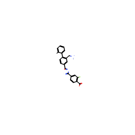 Cc1ccccc1-c1ccc(-c2nc(-c3ccc(C(=O)O)c(F)c3)no2)cc1CN(C)C